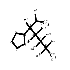 F[C](C(F)(F)F)C(F)(C1C[CH]CC1)C(F)(F)C(F)(F)C(F)(F)C(F)(F)F